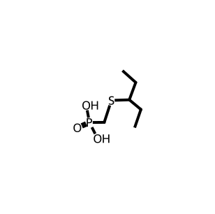 CCC(CC)SCP(=O)(O)O